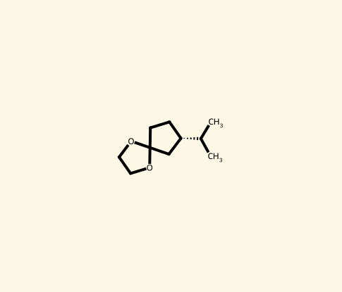 CC(C)[C@H]1CCC2(C1)OCCO2